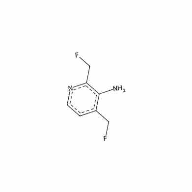 Nc1c(CF)ccnc1CF